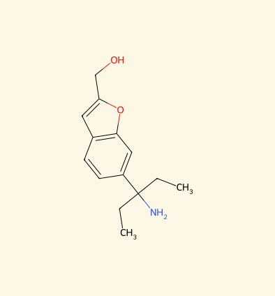 CCC(N)(CC)c1ccc2cc(CO)oc2c1